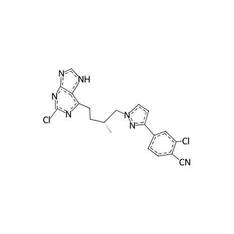 C[C@H](CCc1nc(Cl)nc2nc[nH]c12)Cn1ccc(-c2ccc(C#N)c(Cl)c2)n1